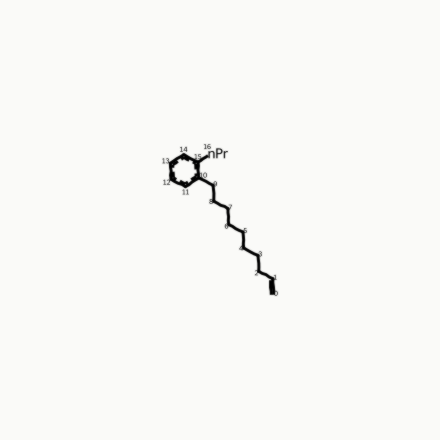 C=CCCCCCCCCc1ccccc1CCC